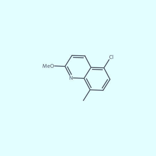 COc1ccc2c(Cl)ccc(C)c2n1